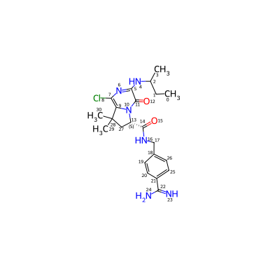 CCC(C)Nc1nc(Cl)c2n(c1=O)[C@H](C(=O)NCc1ccc(C(=N)N)cc1)CC2(C)C